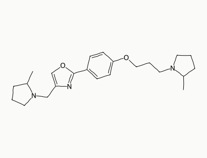 CC1CCCN1CCCOc1ccc(-c2nc(CN3CCCC3C)co2)cc1